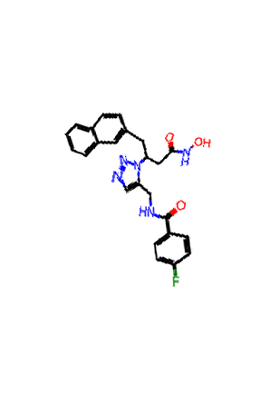 O=C(CC(Cc1ccc2ccccc2c1)n1nncc1CNC(=O)c1ccc(F)cc1)NO